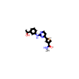 CC(C)NC(=O)c1csc(-c2ccnc(Nc3cccc(C(C)O)c3)n2)c1